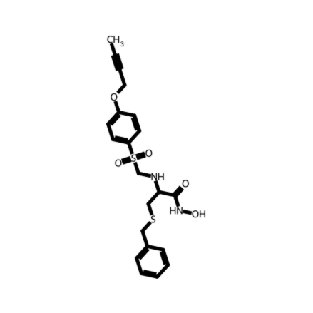 CC#CCOc1ccc(S(=O)(=O)CNC(CSCc2ccccc2)C(=O)NO)cc1